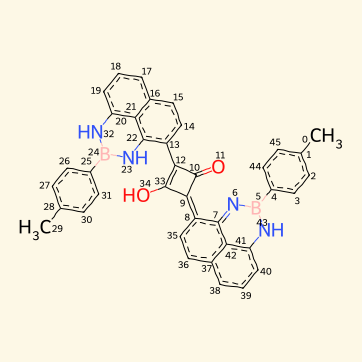 Cc1ccc(B2N=c3/c(=C4\C(=O)C(c5ccc6cccc7c6c5NB(c5ccc(C)cc5)N7)=C4O)ccc4cccc(c34)N2)cc1